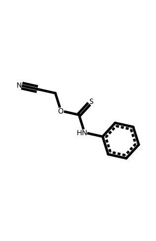 N#CCOC(=S)Nc1ccccc1